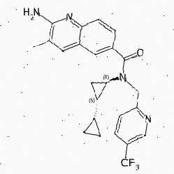 Cc1cc2cc(C(=O)N(Cc3ccc(C(F)(F)F)cn3)[C@@H]3C[C@H]3C3CC3)ccc2nc1N